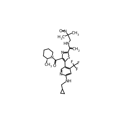 C=C(NCC(C)(C)N=O)c1nc(C(=O)N2CCCC[C@@H]2C)c(-c2cnc(NCC3CC3)cc2C(F)(F)F)s1